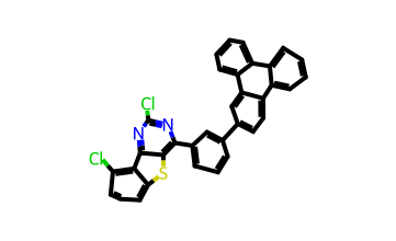 Clc1nc(-c2cccc(-c3ccc4c5ccccc5c5ccccc5c4c3)c2)c2sc3cccc(Cl)c3c2n1